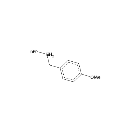 CCC[SiH2]Cc1ccc(OC)cc1